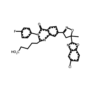 CC1(c2nc3cc(Cl)ccc3o2)CC(c2ccc3c(=O)n(-c4ccc(F)cc4)c(CCCCC(=O)O)nc3c2)=NO1